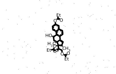 CCC(=O)OCC(=O)[C@@]1(OC(=O)CC)[C@H](C)C=C2c3ccc4cc(OC(=O)CC)ccc4c3[C@H](O)C[C@@]21C